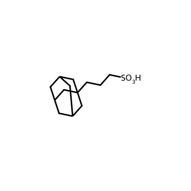 O=S(=O)(O)CCCC12CC3CC(CC(C3)C1)C2